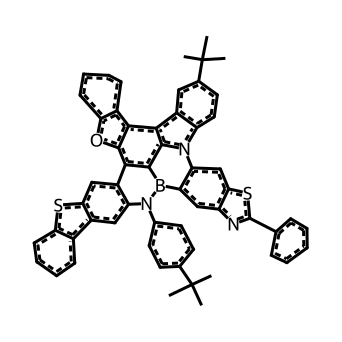 CC(C)(C)c1ccc(N2B3c4cc5nc(-c6ccccc6)sc5cc4-n4c5ccc(C(C)(C)C)cc5c5c6c(oc7ccccc76)c(c3c54)-c3cc4sc5ccccc5c4cc32)cc1